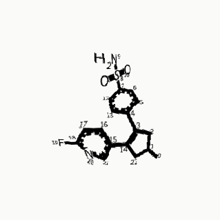 CC1CC(c2ccc(S(N)(=O)=O)cc2)=C(c2ccc(F)nc2)C1